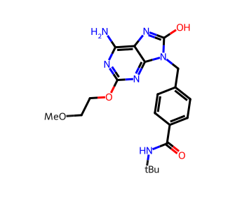 COCCOc1nc(N)c2nc(O)n(Cc3ccc(C(=O)NC(C)(C)C)cc3)c2n1